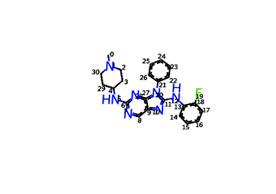 CN1CCC(Nc2ncc3nc(Nc4ccccc4F)n(-c4ccccc4)c3n2)CC1